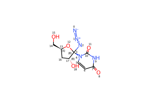 [N-]=[N+]=N[C@@]1(n2ccc(=O)[nH]c2=O)O[C@H](CO)C[C@H]1O